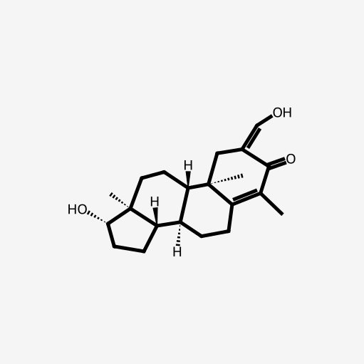 CC1=C2CC[C@H]3[C@@H]4CC[C@H](O)[C@@]4(C)CC[C@@H]3[C@@]2(C)C/C(=C/O)C1=O